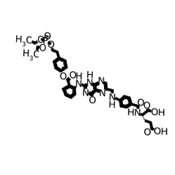 CCOP(=O)(OCC)OCCc1ccc(OC(=O)c2ccccc2Nc2nc(=O)c3nc(CNc4ccc(C(=O)N[C@@H](CCC(=O)O)C(=O)O)cc4)cnc3[nH]2)cc1